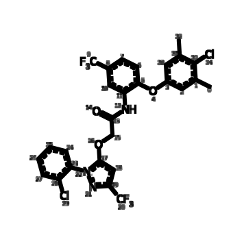 Cc1cc(Oc2ccc(C(F)(F)F)cc2NC(=O)COc2cc(C(F)(F)F)nn2-c2ccccc2Cl)cc(C)c1Cl